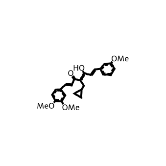 COc1cccc(/C=C/C(O)=C(\CC2CC2)C(=O)/C=C/c2ccc(OC)c(OC)c2)c1